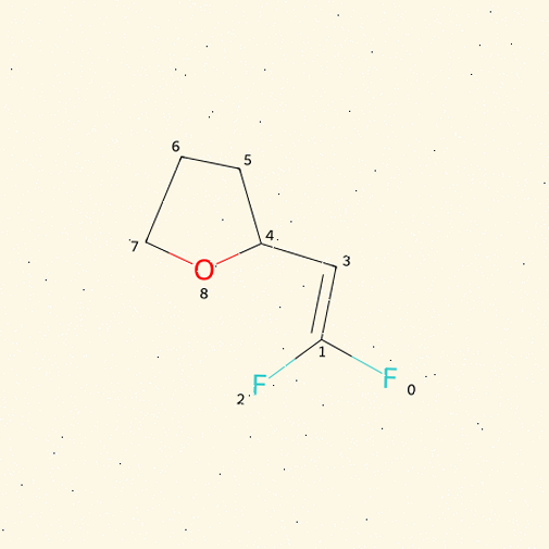 FC(F)=CC1CCCO1